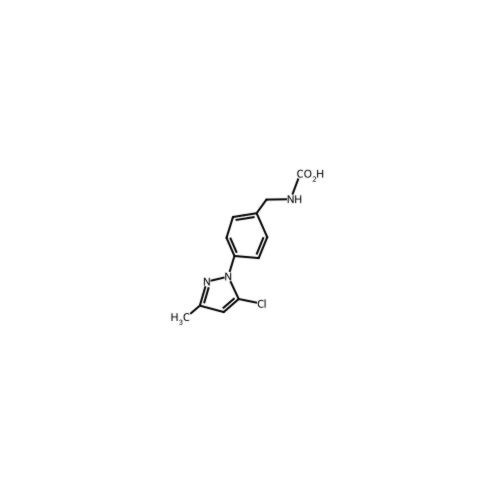 Cc1cc(Cl)n(-c2ccc(CNC(=O)O)cc2)n1